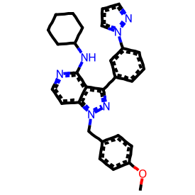 COc1ccc(Cn2nc(-c3cccc(-n4cccn4)c3)c3c(NC4CCCCC4)nccc32)cc1